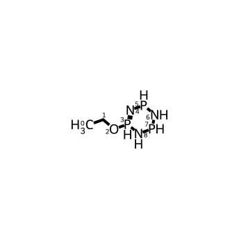 CCO[PH]1=NPNPN1